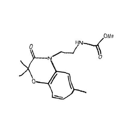 COC(=O)NCCN1C(=O)C(C)(C)Oc2ccc(C)cc21